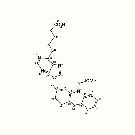 COCN1c2cc(Cn3cnc4c(SCCCC(=O)O)ncnc43)ccc2Sc2nccnc21